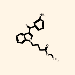 CCOC(=O)CCCn1cc(C(=O)c2cccc(N)c2)c2ccccc21